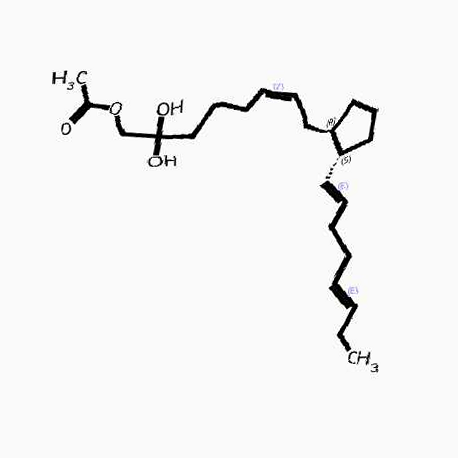 CC/C=C/CC/C=C/[C@H]1CCC[C@@H]1C/C=C\CCCC(O)(O)COC(C)=O